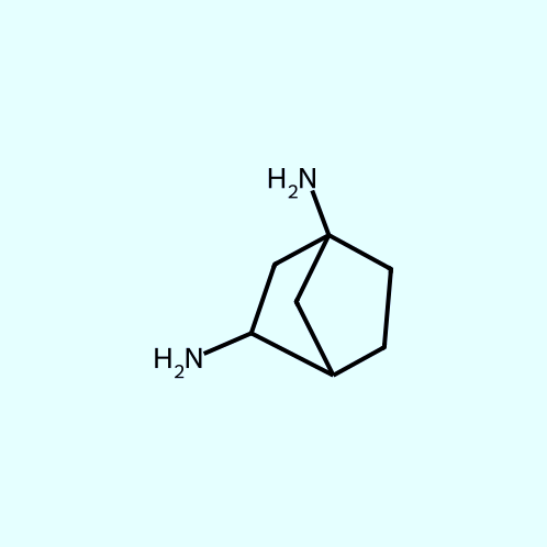 NC1CC2(N)CCC1C2